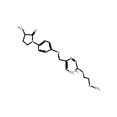 C/C=C(COc1ccc(N2CCC(C)C2=O)cc1)\N=N/C(C)CCCOC